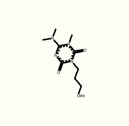 CSCCCn1c(=O)nc(N(C)C)n(C)c1=O